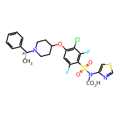 C[C@H](c1ccccc1)N1CCC(Oc2cc(F)c(S(=O)(=O)N(C(=O)O)c3cscn3)c(F)c2Cl)CC1